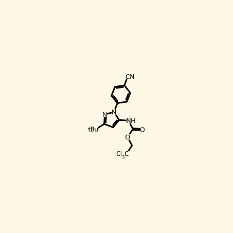 CC(C)(C)c1cc(NC(=O)OCC(Cl)(Cl)Cl)n(-c2ccc(C#N)cc2)n1